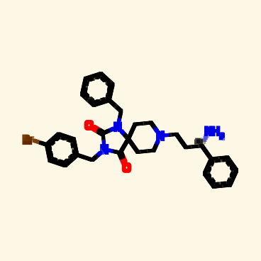 N[C@@H](CCN1CCC2(CC1)C(=O)N(Cc1ccc(Br)cc1)C(=O)N2Cc1ccccc1)c1ccccc1